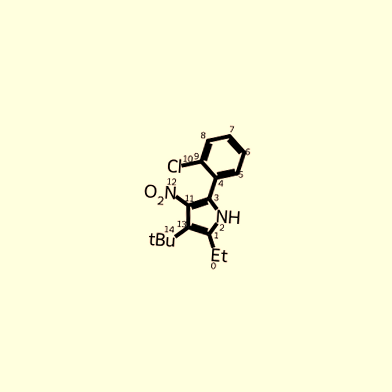 CCc1[nH]c(-c2ccccc2Cl)c([N+](=O)[O-])c1C(C)(C)C